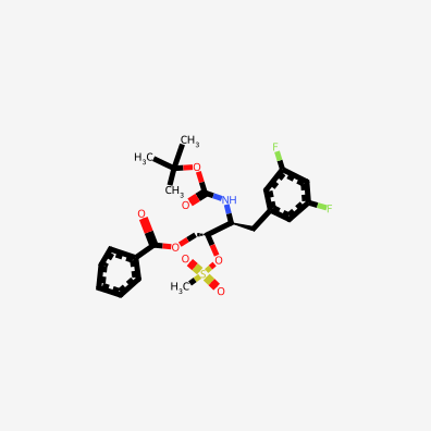 CC(C)(C)OC(=O)N[C@@H](Cc1cc(F)cc(F)c1)[C@@H](COC(=O)c1ccccc1)OS(C)(=O)=O